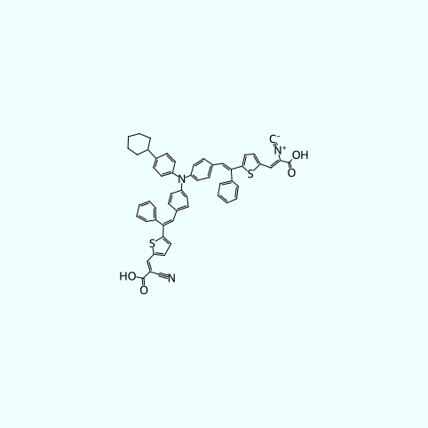 [C-]#[N+]/C(=C\c1ccc(/C(=C/c2ccc(N(c3ccc(/C=C(\c4ccccc4)c4ccc(/C=C(\C#N)C(=O)O)s4)cc3)c3ccc(C4CCCCC4)cc3)cc2)c2ccccc2)s1)C(=O)O